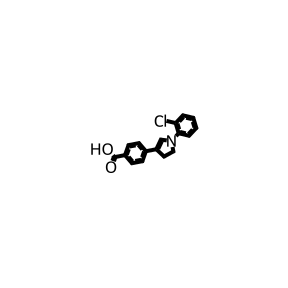 O=C(O)c1ccc(C2=CN(c3ccccc3Cl)CC2)cc1